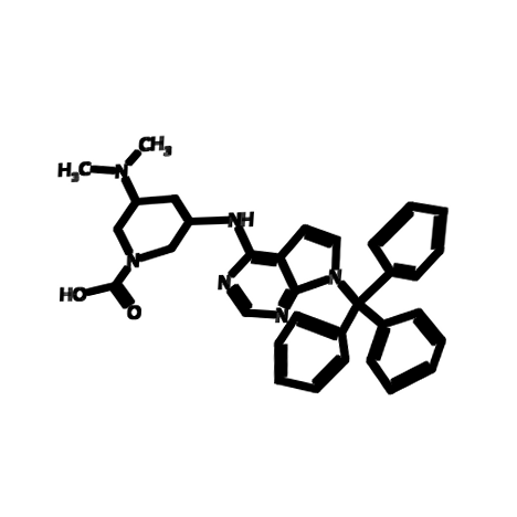 CN(C)C1CC(Nc2ncnc3c2ccn3C(c2ccccc2)(c2ccccc2)c2ccccc2)CN(C(=O)O)C1